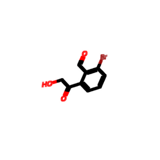 O=Cc1c(Br)cccc1C(=O)CO